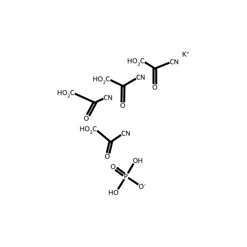 N#CC(=O)C(=O)O.N#CC(=O)C(=O)O.N#CC(=O)C(=O)O.N#CC(=O)C(=O)O.O=P([O-])(O)O.[K+]